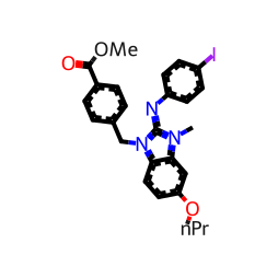 CCCOc1ccc2c(c1)n(C)c(=Nc1ccc(I)cc1)n2Cc1ccc(C(=O)OC)cc1